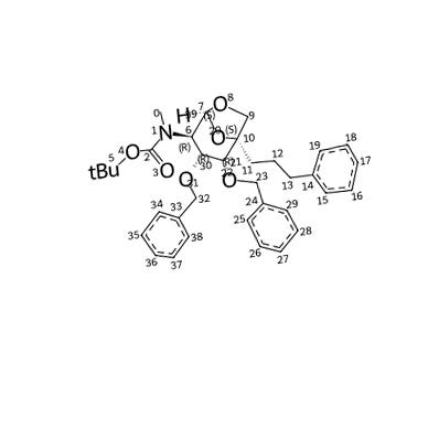 CN(C(=O)OC(C)(C)C)[C@H]1[C@H]2OC[C@](CCCc3ccccc3)(O2)[C@H](OCc2ccccc2)[C@@H]1OCc1ccccc1